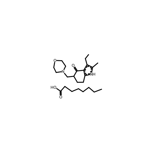 CCCCCCCC(=O)O.CCc1c(C)[nH]c2c1C(=O)C(CN1CCOCC1)CC2